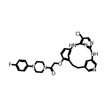 O=C(COc1ccc2cc1CCc1cncc(c1)Nc1ncc(Cl)c(n1)N2)N1CCN(c2ccc(F)cc2)CC1